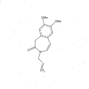 C=CCN1C=Cc2cc(OC)c(OC)cc2CC1=O